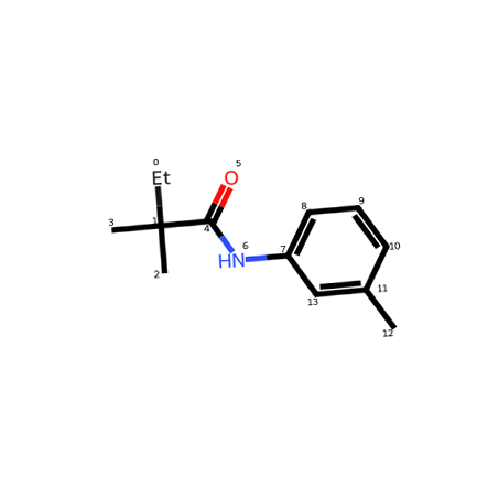 CCC(C)(C)C(=O)Nc1cccc(C)c1